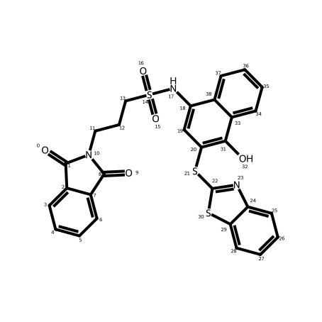 O=C1c2ccccc2C(=O)N1CCCS(=O)(=O)Nc1cc(Sc2nc3ccccc3s2)c(O)c2ccccc12